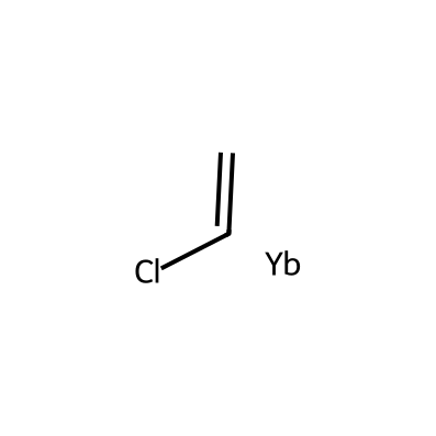 C=CCl.[Yb]